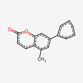 Cc1cc(-c2ccccc2)cc2oc(=O)ccc12